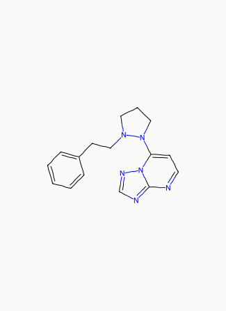 c1ccc(CCN2CCCN2c2ccnc3ncnn23)cc1